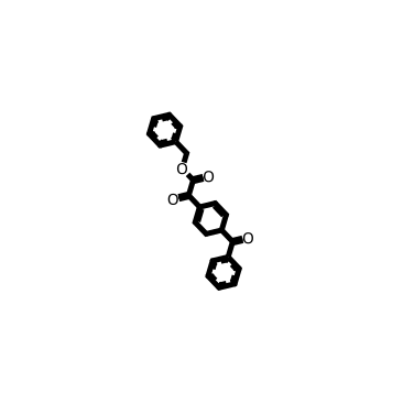 O=C(OCc1ccccc1)C(=O)C1=CCC(C(=O)c2ccccc2)C=C1